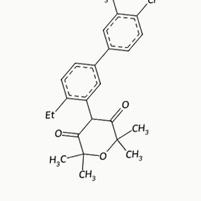 CCc1ccc(-c2ccc(Cl)c(C(F)(F)F)c2)cc1C1C(=O)C(C)(C)OC(C)(C)C1=O